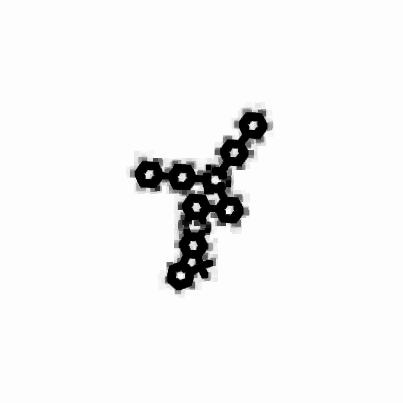 CC1(C)c2ccccc2-c2cc3c(cc21)Oc1c(cccc1-c1ccccc1-c1nc(-c2ccc(-c4ccccc4)cc2)nc(-c2ccc(-c4ccccc4)cc2)n1)O3